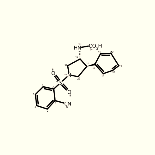 N#Cc1ccccc1S(=O)(=O)N1C[C@H](NC(=O)O)[C@@H](c2ccccc2)C1